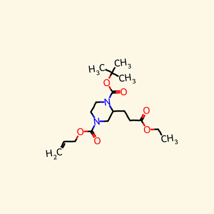 C=CCOC(=O)N1CCN(C(=O)OC(C)(C)C)C(CCC(=O)OCC)C1